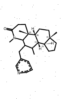 CC1C(Cc2cccnc2)C2N(C)C(=O)CC[C@]2(C)[C@@H]2CC[C@]3(C)CCC[C@H]3[C@H]12